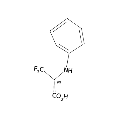 O=C(O)[C@@H](Nc1ccccc1)C(F)(F)F